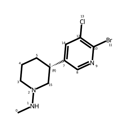 CNN1CCC[C@H](c2cnc(Br)c(Cl)c2)C1